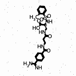 Cc1ccccc1S(=O)(=O)N[C@@H](CNC(=O)CCNC(=O)c1ccc(C(=N)N)cc1)C(=O)O